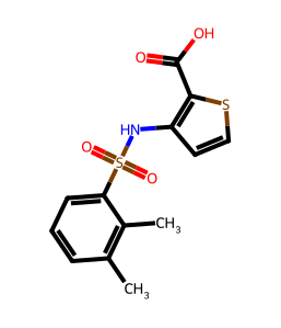 Cc1cccc(S(=O)(=O)Nc2ccsc2C(=O)O)c1C